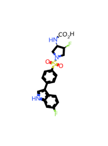 O=C(O)N[C@H]1CN(S(=O)(=O)c2ccc(-c3c[nH]c4cc(F)ccc34)cc2)C[C@@H]1F